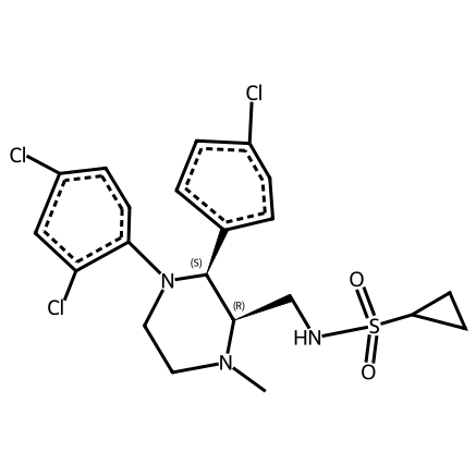 CN1CCN(c2ccc(Cl)cc2Cl)[C@@H](c2ccc(Cl)cc2)[C@H]1CNS(=O)(=O)C1CC1